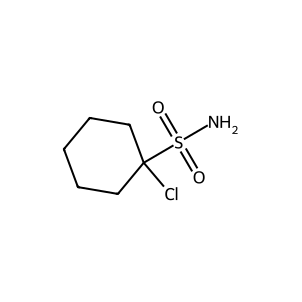 NS(=O)(=O)C1(Cl)CCCCC1